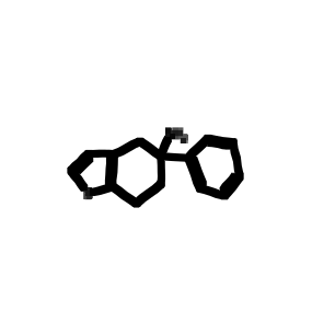 NC1(c2ccccc2)CCc2sccc2C1